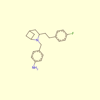 Nc1ccc(CN2C(CCc3ccc(F)cc3)CC3CC2C3)cc1